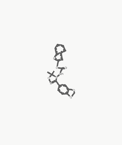 CC1(C)ON=C(c2ccc3c(c2)OCO3)N1NC(=O)Oc1cc2ccccc2s1